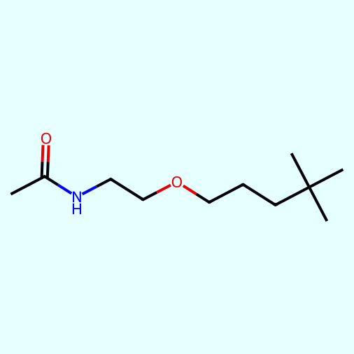 CC(=O)NCCOCCCC(C)(C)C